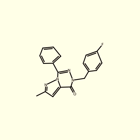 Cc1cc2c(=O)n(Cc3ccc(F)cc3)nc(-c3ccccc3)n2n1